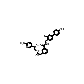 C[C@H](Cc1cccc(C(=O)NCc2ccc(-c3ccc(O)cc3)cc2F)c1)NC[C@H](O)c1ccc(N)nc1